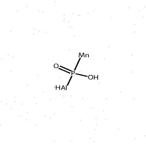 O=[P](O)([AlH])[Mn]